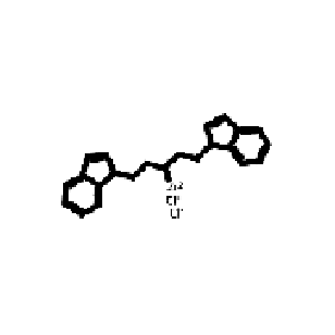 [Cl-].[Cl-].[Zr+2][CH](CCC1C=Cc2ccccc21)CCC1C=Cc2ccccc21